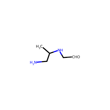 CC(CN)NCC=O